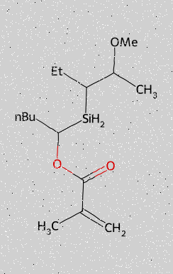 C=C(C)C(=O)OC(CCCC)[SiH2]C(CC)C(C)OC